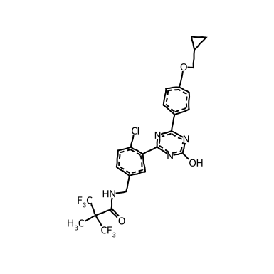 CC(C(=O)NCc1ccc(Cl)c(-c2nc(O)nc(-c3ccc(OCC4CC4)cc3)n2)c1)(C(F)(F)F)C(F)(F)F